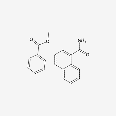 COC(=O)c1ccccc1.NC(=O)c1cccc2ccccc12